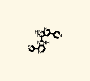 c1cc(-c2cnc3[nH]nc(-c4nc5c(-c6ccsc6)nccc5[nH]4)c3c2)ccn1